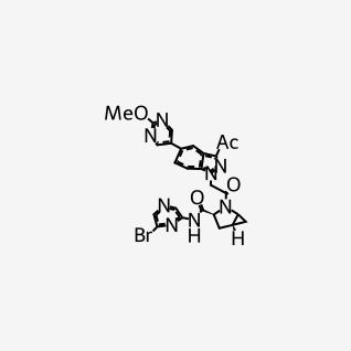 COc1ncc(-c2ccc3c(c2)c(C(C)=O)nn3CC(=O)N2C3C[C@@H]3C[C@H]2C(=O)Nc2cncc(Br)n2)cn1